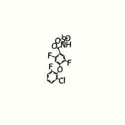 CS(=O)(=O)NC(=O)c1cc(F)c(Oc2c(F)cccc2Cl)cc1F